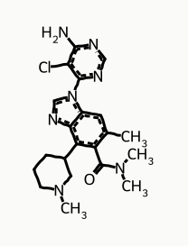 Cc1cc2c(ncn2-c2ncnc(N)c2Cl)c(C2CCCN(C)C2)c1C(=O)N(C)C